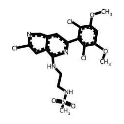 COc1cc(OC)c(Cl)c(-c2cc3cnc(Cl)cc3c(NCCNS(C)(=O)=O)n2)c1Cl